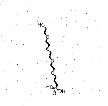 O=P(O)(O)CCCOCCOCCOCCOCCO